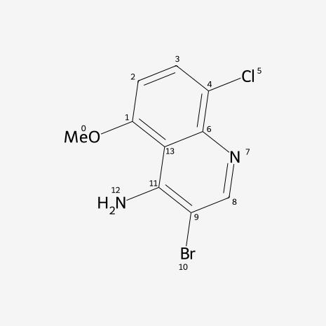 COc1ccc(Cl)c2ncc(Br)c(N)c12